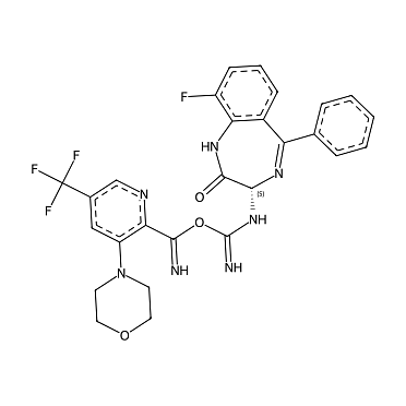 N=C(N[C@H]1N=C(c2ccccc2)c2cccc(F)c2NC1=O)OC(=N)c1ncc(C(F)(F)F)cc1N1CCOCC1